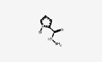 NNC(=O)c1ccc[s+]1[O-]